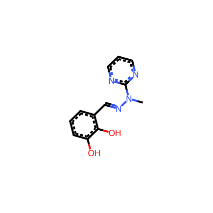 CN(N=Cc1cccc(O)c1O)c1ncccn1